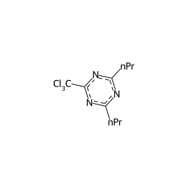 CCCc1nc(CCC)nc(C(Cl)(Cl)Cl)n1